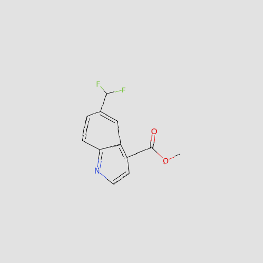 COC(=O)c1ccnc2ccc(C(F)F)cc12